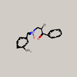 CCC(C[N+]([O-])=Cc1cccc([N+](=O)[O-])c1)C(=O)c1ccccc1